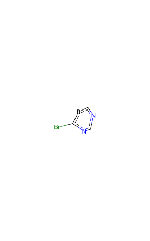 Brc1bcncn1